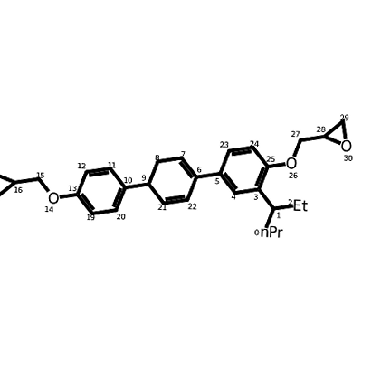 CCCC(CC)c1cc(C2=CCC(c3ccc(OCC4CO4)cc3)C=C2)ccc1OCC1CO1